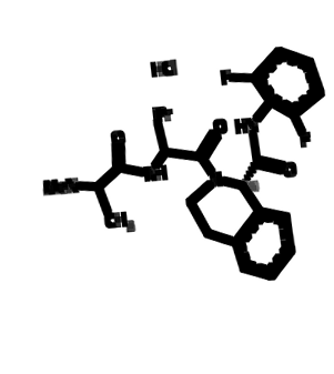 CNC(C)C(=O)NC(C(=O)N1CCc2ccccc2[C@H]1C(=O)Nc1c(F)cccc1F)C(C)C.Cl